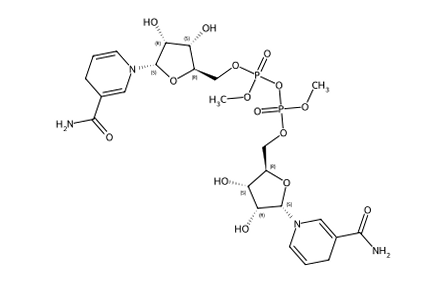 COP(=O)(OC[C@H]1O[C@H](N2C=CCC(C(N)=O)=C2)[C@H](O)[C@@H]1O)OP(=O)(OC)OC[C@H]1O[C@H](N2C=CCC(C(N)=O)=C2)[C@H](O)[C@@H]1O